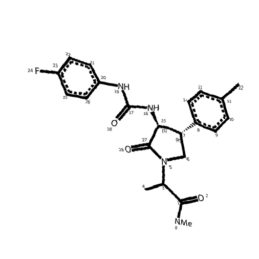 CNC(=O)C(C)N1C[C@@H](c2ccc(C)cc2)[C@H](NC(=O)Nc2ccc(F)cc2)C1=O